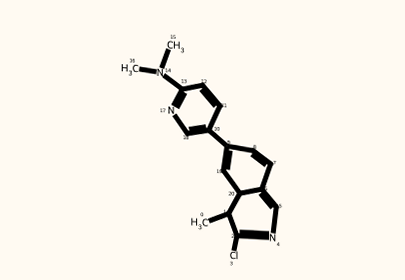 CC1C(Cl)=NC=C2C=CC(c3ccc(N(C)C)nc3)=CC21